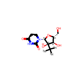 [2H]C([2H])([2H])[C@@]1(O)[C@H](O)[C@@H](CO)O[C@H]1n1ccc(=O)[nH]c1=O